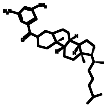 CC(C)CCC[C@@H](C)[C@H]1CC[C@H]2[C@@H]3CCC4CC(C(=O)c5cc(N)cc(N)c5)CC[C@]4(C)[C@H]3CC[C@]12C